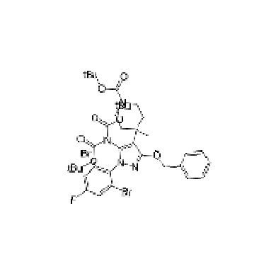 CC(C)(C)OC(=O)N1CCC(C)(c2c(OCc3ccccc3)nn(-c3c(Br)cc(F)cc3Br)c2N(C(=O)OC(C)(C)C)C(=O)OC(C)(C)C)CC1